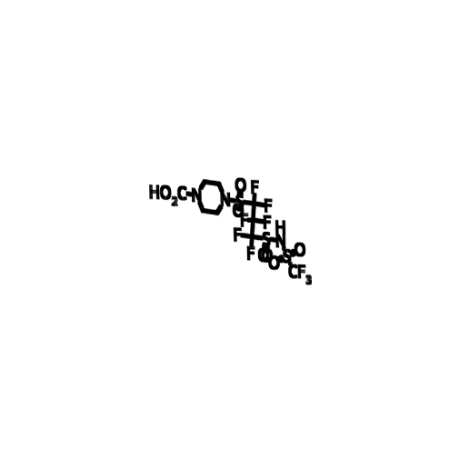 O=C(O)N1CCN(S(=O)(=O)C(F)(F)C(F)(F)C(F)(F)S(=O)(=O)NS(=O)(=O)C(F)(F)F)CC1